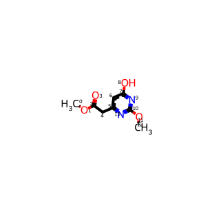 COC(=O)Cc1cc(O)nc(OC)n1